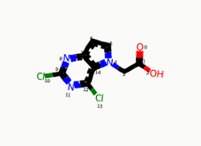 O=C(O)Cn1ccc2nc(Cl)nc(Cl)c21